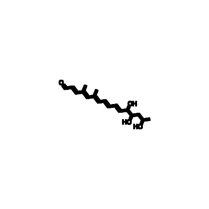 CC(=C\C=C\C=C\C(O)C(O)CC(C)O)/C=C(C)/C=C/C=O